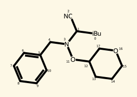 CCC(C)C(C#N)N(Cc1ccccc1)OC1CCCOC1